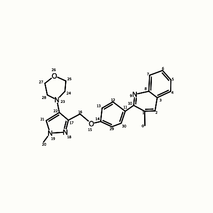 Cc1cc2ccccc2nc1-c1ccc(OCc2nn(C)cc2N2CCOCC2)cc1